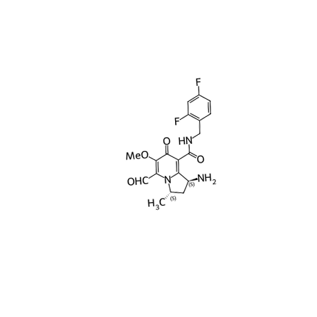 COc1c(C=O)n2c(c(C(=O)NCc3ccc(F)cc3F)c1=O)[C@@H](N)C[C@@H]2C